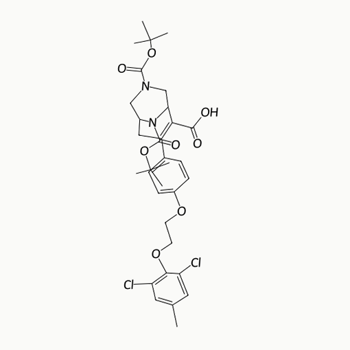 Cc1cc(Cl)c(OCCOc2ccc(C3=C(C(=O)O)C4CN(C(=O)OC(C)(C)C)CC(C3)N4C(=O)OC(C)(C)C)cc2)c(Cl)c1